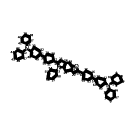 c1ccc(N(c2ccccc2)c2ccc(-c3ccc(-c4cc5cc6c(cc(-c7ccc(-c8ccc(N(c9ccccc9)c9ccccc9)cc8)cc7)n6-c6ccccc6)cc5o4)cc3)cc2)cc1